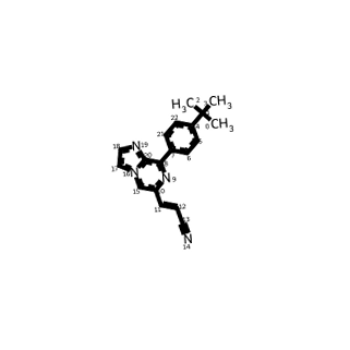 CC(C)(C)c1ccc(-c2nc(/C=C/C#N)cn3ccnc23)cc1